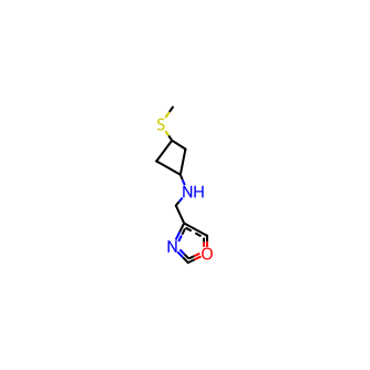 CSC1CC(NCc2cocn2)C1